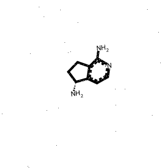 Nc1nccc2c1CC[C@H]2N